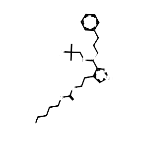 CC(C)(N)CN[C@@H](CCCc1ccccc1)c1n[nH]cc1CCOC(=O)NCCCCO